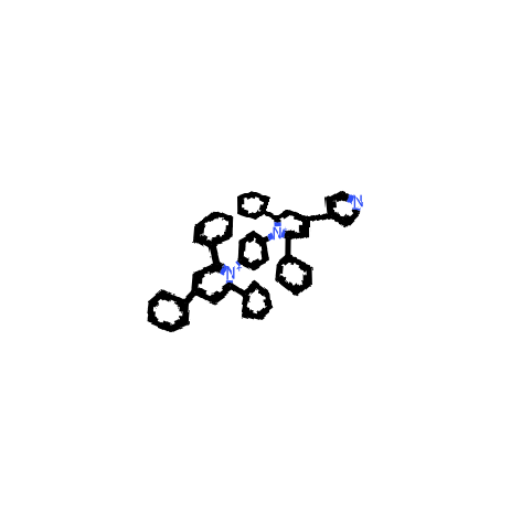 c1ccc(-c2cc(-c3ccccc3)[n+](-c3ccc(-[n+]4c(-c5ccccc5)cc(-c5ccncc5)cc4-c4ccccc4)cc3)c(-c3ccccc3)c2)cc1